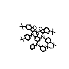 CC(C)(C)c1ccc(N2c3cc(N(c4ccccc4)c4ccccc4)cc4c3B(c3oc5ccc(C(C)(C)C)cc5c32)c2oc3ccc(C(C)(C)C)cc3c2N4c2ccc3c(c2)C(C)(C)CCC3(C)C)cc1